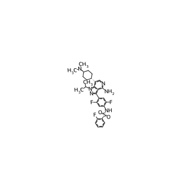 CC(C)n1nc(-c2cc(F)c(NS(=O)(=O)c3ccccc3F)cc2F)c2c(N)ncc([C@H]3CC[C@H](N(C)C)CC3)c21